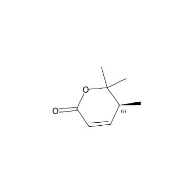 C[C@H]1C=CC(=O)OC1(C)C